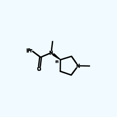 CC(C)C(=O)N(C)[C@@H]1CCN(C)C1